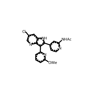 COc1cccc(-c2c(-c3ccnc(NC(C)=O)c3)[nH]c3cc(Cl)cnc23)n1